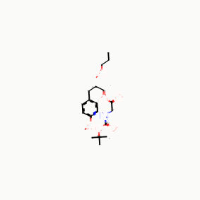 CCCOC[C@@H](Cc1ccc(OC)cc1)[C@H](C)OC(=O)[C@H](C)NC(=O)OC(C)(C)C